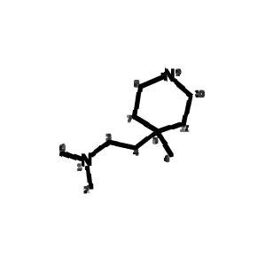 CN(C)CCC1(C)CC[N]CC1